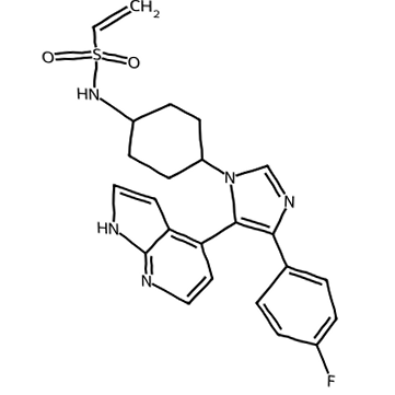 C=CS(=O)(=O)NC1CCC(n2cnc(-c3ccc(F)cc3)c2-c2ccnc3[nH]ccc23)CC1